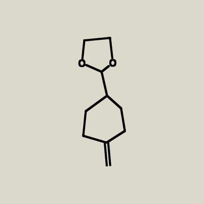 C=C1CCC(C2OCCO2)CC1